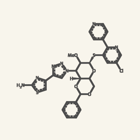 COC1C(n2cc(-c3csc(N)n3)nn2)[C@H]2OC(c3ccccc3)OCC2O[C@@H]1Sc1cc(Cl)cnc1-c1ccncc1